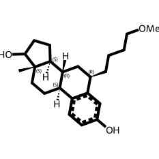 COCCCC[C@@H]1C[C@@H]2[C@H](CC[C@]3(C)C(O)CC[C@@H]23)c2ccc(O)cc21